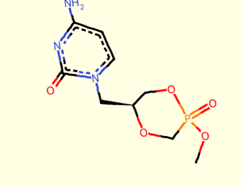 COP1(=O)CO[C@@H](Cn2ccc(N)nc2=O)CO1